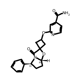 NC(=O)c1ccnc(OC2CC3(C2)O[C@@H]2CC[C@@H](c4ccccc4)N2C3=O)c1